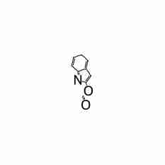 O=COC1=CC2=CCC=CC2=N1